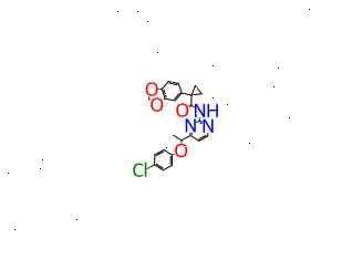 CC(Oc1ccc(Cl)cc1)c1ccnc(NC(=O)C2(c3ccc4c(c3)OCO4)CC2)n1